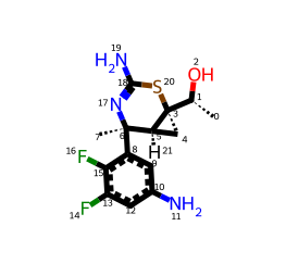 C[C@@H](O)[C@@]12C[C@H]1[C@@](C)(c1cc(N)cc(F)c1F)N=C(N)S2